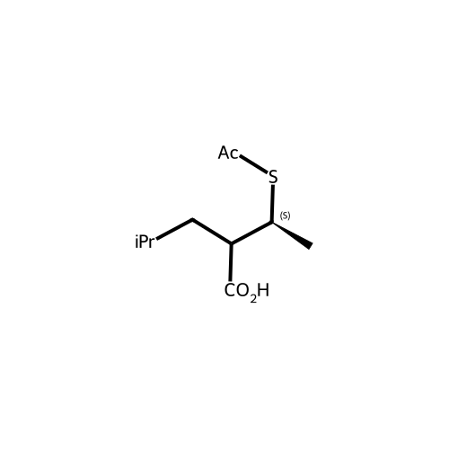 CC(=O)S[C@@H](C)C(CC(C)C)C(=O)O